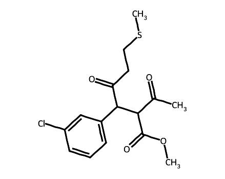 COC(=O)C(C(C)=O)C(C(=O)CCSC)c1cccc(Cl)c1